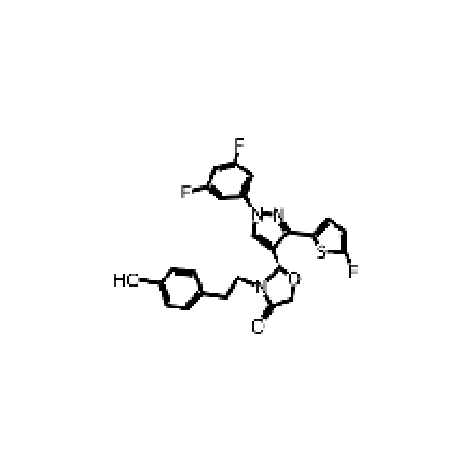 O=C1CO[C@H](c2cn(-c3cc(F)cc(F)c3)nc2-c2ccc(F)s2)N1CCc1ccc(O)cc1